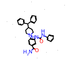 NC(=O)c1ccc(N2CCC(C(c3ccccc3)c3ccccc3)CC2)c(NC(=O)Nc2ccccc2)c1